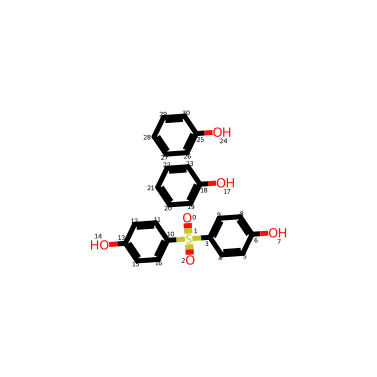 O=S(=O)(c1ccc(O)cc1)c1ccc(O)cc1.Oc1ccccc1.Oc1ccccc1